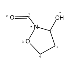 O=[C]N1OCCC1O